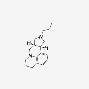 CCCN1C[C@H]2CN3CCCc4cccc(c43)[C@H]2C1